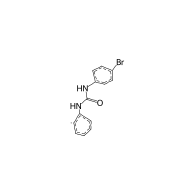 O=C(Nc1[c]cccc1)Nc1ccc(Br)cc1